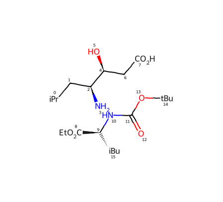 CC(C)C[C@H](N)[C@@H](O)CC(=O)O.CCOC(=O)[C@@H](NC(=O)OC(C)(C)C)[C@@H](C)CC